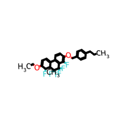 CCCc1ccc(COc2ccc3c(c2F)C(F)(F)C(F)(F)C2(C)C3=CC=C(OCC)C2F)cc1